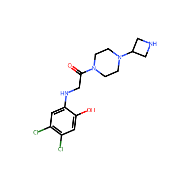 O=C(CNc1cc(Cl)c(Cl)cc1O)N1CCN(C2CNC2)CC1